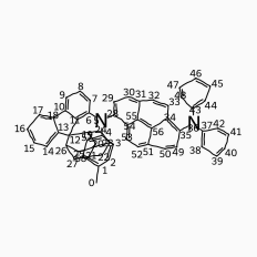 Cc1ccc(N(c2cccc3c2C2(c4ccccc4-3)C3CC4CC(C3)CC2C4)c2ccc3ccc4c(N(c5ccccc5)c5ccccc5)ccc5ccc2c3c54)cc1